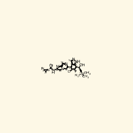 C[Si](C)(C)C#CC(O)c1c(F)c(Cl)c(-c2cn3cc(NC(=O)[C@@H]4C[C@@H]4F)nc3cn2)c2cn[nH]c12